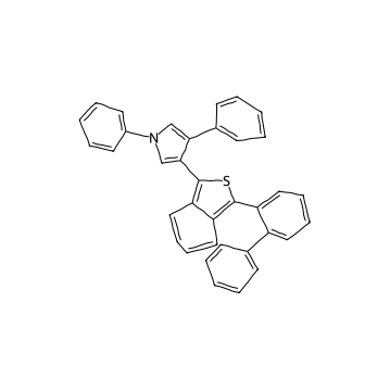 c1ccc(-c2ccccc2-c2sc(-c3cn(-c4ccccc4)cc3-c3ccccc3)c3ccccc23)cc1